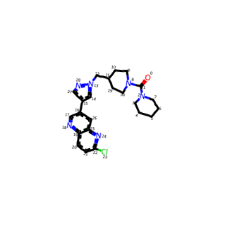 O=C(N1CCCCC1)N1CCC(Cn2cc(-c3cnc4ccc(Cl)nc4c3)cn2)CC1